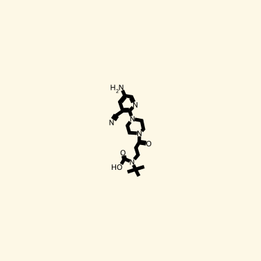 CC(C)(C)N(CCC(=O)N1CCN(c2ncc(N)cc2C#N)CC1)C(=O)O